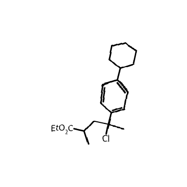 CCOC(=O)C(C)CC(C)(Cl)c1ccc(C2CCCCC2)cc1